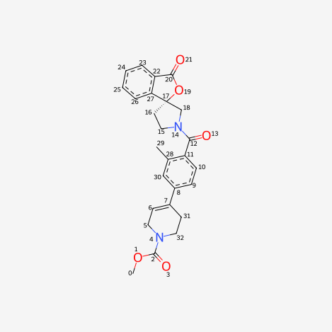 COC(=O)N1CC=C(c2ccc(C(=O)N3CC[C@@]4(C3)OC(=O)c3ccccc34)c(C)c2)CC1